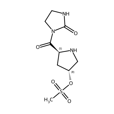 CS(=O)(=O)O[C@H]1CN[C@H](C(=O)N2CCNC2=O)C1